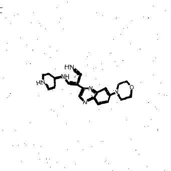 N=C/C(=C\NC1CCNCC1)c1cnc2ccc(N3CCOCC3)cc2n1